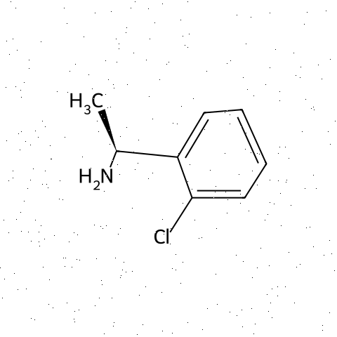 C[C@H](N)c1ccccc1Cl